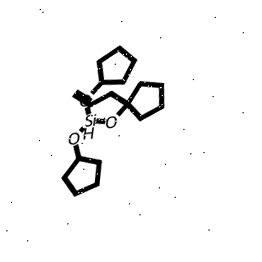 C=CCC1(O[SiH](OC2CCCC2)OC2CCCC2)CCCC1